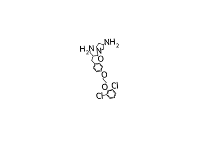 NCC(Cc1ccc(OCCOc2c(Cl)cccc2Cl)cc1)C(=O)N1CCC(N)C1